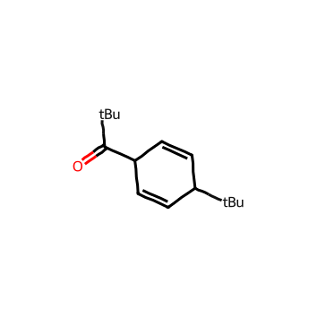 CC(C)(C)C(=O)C1C=CC(C(C)(C)C)C=C1